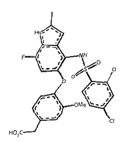 COc1cc(CC(=O)O)ccc1Oc1cc(F)c2[nH]c(C)cc2c1NS(=O)(=O)c1ccc(Cl)cc1Cl